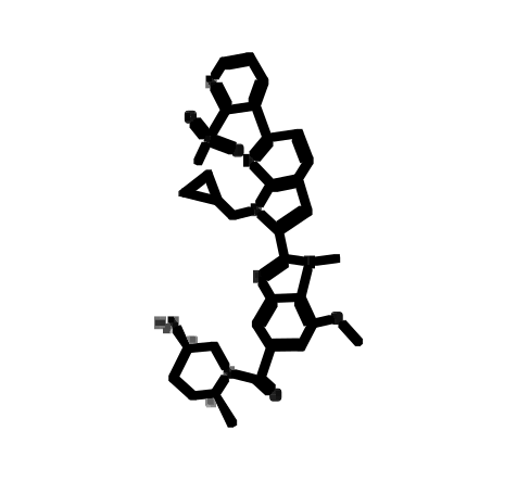 COc1cc(C(=O)N2C[C@H](N)CC[C@@H]2C)cc2nc(-c3cc4ccc(-c5cccnc5S(C)(=O)=O)nc4n3CC3CC3)n(C)c12